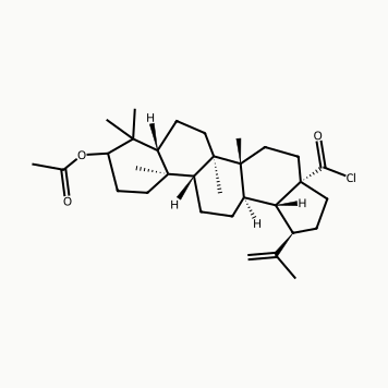 C=C(C)[C@@H]1CC[C@]2(C(=O)Cl)CC[C@]3(C)[C@H](CC[C@@H]4[C@@]5(C)CCC(OC(C)=O)C(C)(C)[C@@H]5CC[C@]43C)[C@@H]12